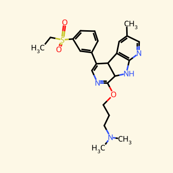 CCS(=O)(=O)c1cccc(C2=CN=C(OCCCN(C)C)C3Nc4ncc(C)cc4C23)c1